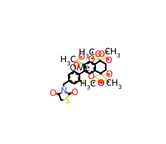 COc1cc(CN2C(=O)CSC2=O)cc(F)c1-c1cc2c(cc1S(C)(=O)=O)C(S(C)(=O)=O)(S(C)(=O)=O)CCC2(S(C)(=O)=O)S(C)(=O)=O